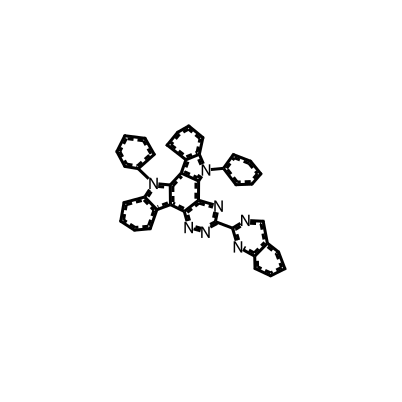 c1ccc(-n2c3ccccc3c3c2c2nc(-c4ncc5ccccc5n4)nnc2c2c4ccccc4n(-c4ccccc4)c23)cc1